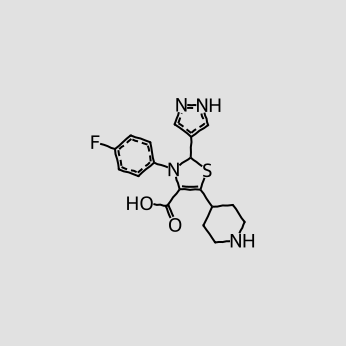 O=C(O)C1=C(C2CCNCC2)SC(c2cn[nH]c2)N1c1ccc(F)cc1